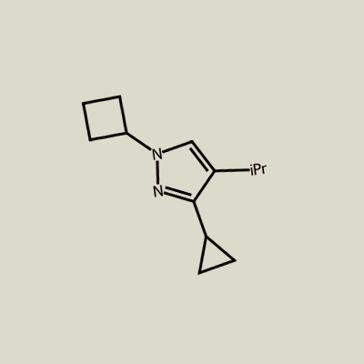 CC(C)c1cn(C2CCC2)nc1C1CC1